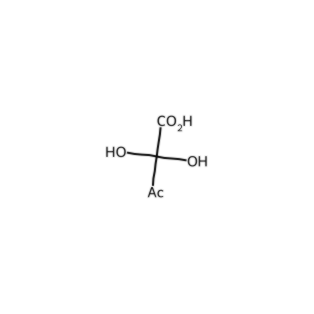 CC(=O)C(O)(O)C(=O)O